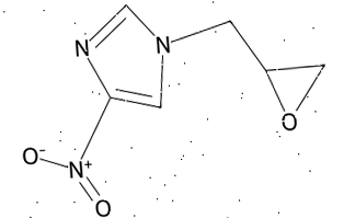 O=[N+]([O-])c1cn(CC2CO2)cn1